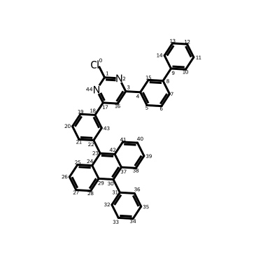 Clc1nc(-c2cccc(-c3ccccc3)c2)cc(-c2cccc(-c3c4ccccc4c(-c4ccccc4)c4ccccc34)c2)n1